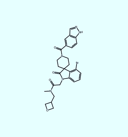 CN(CC1COC1)C(=O)CN1C(=O)C2(CCN(C(=O)c3ccc4[nH]ncc4c3)CC2)c2c(Br)cccc21